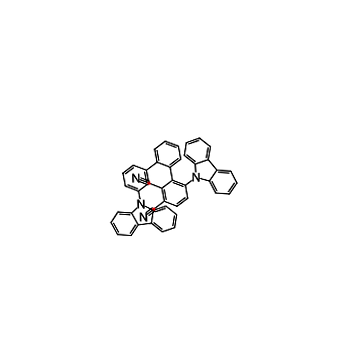 N#Cc1ccc(-n2c3ccccc3c3ccccc32)c(-c2ccccc2-c2cccc(-n3c4ccccc4c4ccccc43)c2)c1C#N